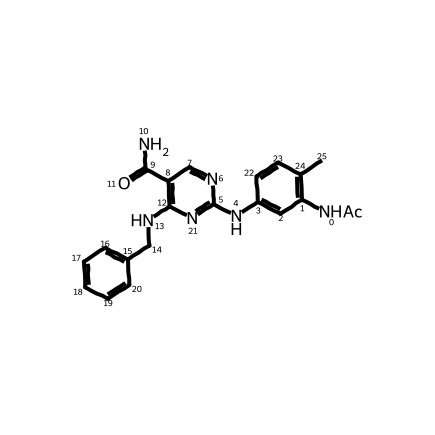 CC(=O)Nc1cc(Nc2ncc(C(N)=O)c(NCc3ccccc3)n2)ccc1C